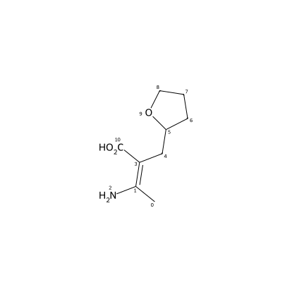 C/C(N)=C(\CC1CCCO1)C(=O)O